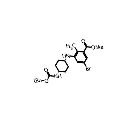 COC(=O)c1cc(Br)cc(N[C@H]2CC[C@@H](NC(=O)OC(C)(C)C)CC2)c1C